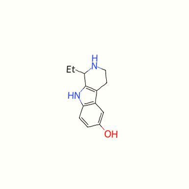 CCC1NCCc2c1[nH]c1ccc(O)cc21